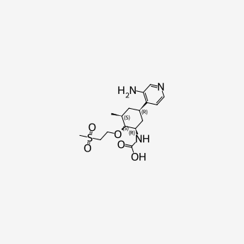 C[C@H]1C[C@@H](c2ccncc2N)C[C@@H](NC(=O)O)[C@H]1OCCS(C)(=O)=O